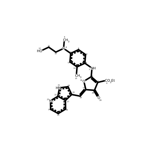 CCOC(=O)C1=C(Nc2ccc(N(C)CCO)cc2C)OC(=Cc2c[nH]c3ncccc23)C1=O